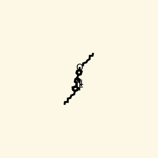 CCCCCCCCOc1ccc(-c2ccc(-c3ccc(CCCCCCC)cc3F)nc2)cc1